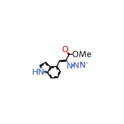 COC(=O)/C(=C/c1cccc2[nH]ccc12)N=[N+]=[N-]